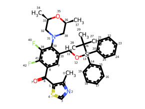 Cc1ncsc1C(=O)c1cc(CO[Si](c2ccccc2)(c2ccccc2)C(C)(C)C)c(N2C[C@@H](C)O[C@@H](C)C2)c(F)c1F